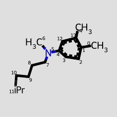 Cc1ccc(N(C)CCCCC(C)C)cc1C